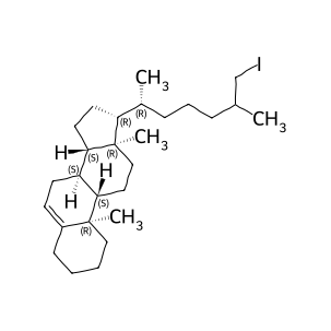 CC(CI)CCC[C@@H](C)[C@H]1CC[C@H]2[C@@H]3CC=C4CCCC[C@]4(C)[C@H]3CC[C@]12C